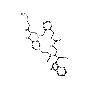 CCCCNC(=O)Nc1ccc(OCC(=O)C(CNC(=O)CCc2ccccc2OC)C(N)c2c[nH]c3ccccc23)cc1